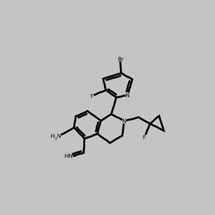 N=Cc1c(N)ccc2c1CCN(CC1(F)CC1)C2c1ncc(Br)cc1F